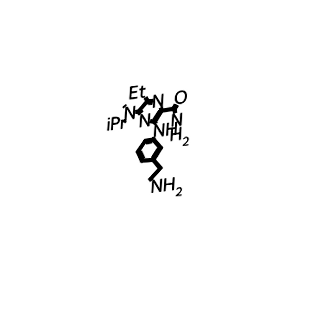 CCc1nc(C(N)=O)c(Nc2cccc(CCN)c2)nc1N(C)C(C)C